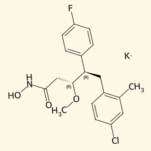 CO[C@H](CC(=O)NO)[C@H](Cc1ccc(Cl)cc1C)c1ccc(F)cc1.[K]